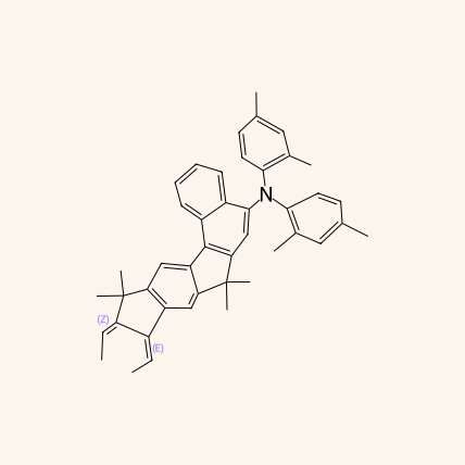 C/C=C1\C(=C/C)c2cc3c(cc2C1(C)C)-c1c(cc(N(c2ccc(C)cc2C)c2ccc(C)cc2C)c2ccccc12)C3(C)C